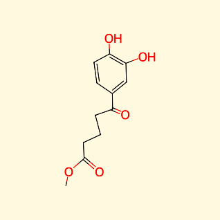 COC(=O)CCCC(=O)c1ccc(O)c(O)c1